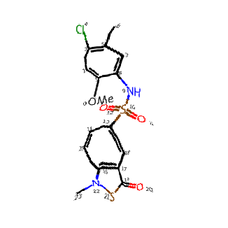 COc1cc(Cl)c(C)cc1NS(=O)(=O)c1ccc2c(c1)c(=O)sn2C